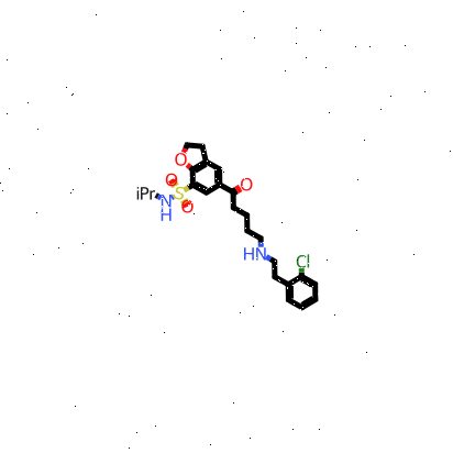 CC(C)NS(=O)(=O)c1cc(C(=O)CCCCNCCc2ccccc2Cl)cc2c1OCC2